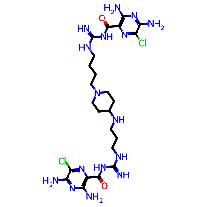 N=C(NCCCCN1CCC(NCCCNC(=N)NC(=O)c2nc(Cl)c(N)nc2N)CC1)NC(=O)c1nc(Cl)c(N)nc1N